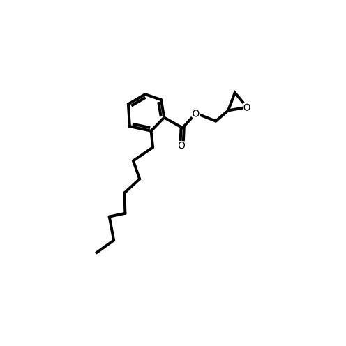 CCCCCCCCc1ccccc1C(=O)OCC1CO1